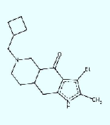 CCc1c(C)[nH]c2c1C(=O)C1CN(CC3CCC3)CCC1C2